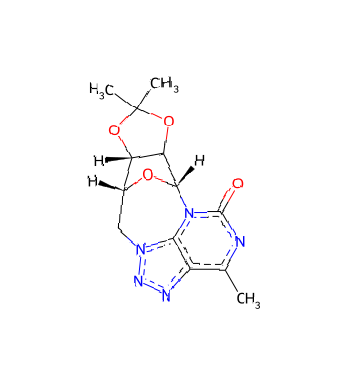 Cc1nc(=O)n2c3c1nnn3C[C@H]1O[C@@H]2C2OC(C)(C)O[C@H]21